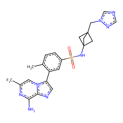 Cc1ccc(S(=O)(=O)NC23CC(Cn4cncn4)(C2)C3)cc1-c1cnc2c(N)nc(C(F)(F)F)cn12